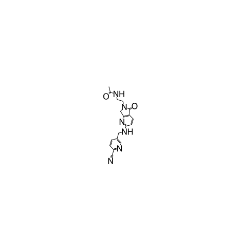 CC(=O)NCCN1Cc2nc(NCc3ccc(C#N)nc3)ccc2C1=O